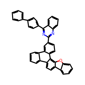 c1ccc(-c2ccc(-c3nc(-c4ccc5c(c4)c4ccccc4c4ccc6c7ccccc7oc6c45)nc4ccccc34)cc2)cc1